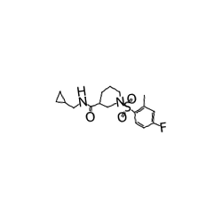 Cc1cc(F)ccc1S(=O)(=O)N1CCCC(C(=O)NCC2CC2)C1